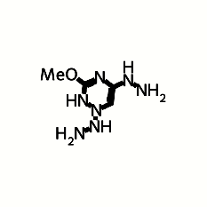 COC1=NC(NN)=CN(NN)N1